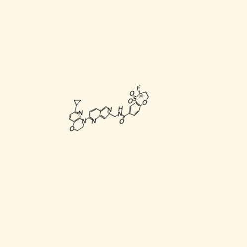 O=C(NCc1cc2nc(N3CCOc4ccc(C5CC5)nc43)ccc2cn1)c1ccc2c(c1)S(=O)(=O)[C@@H](F)CCO2